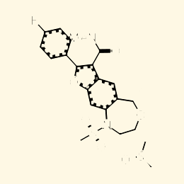 CNC(=O)c1c(-c2ccc(F)cc2)oc2cc3c(cc12)[C@H](C)O[C@H](C[S@@+](C)[O-])CN3S(C)(=O)=O